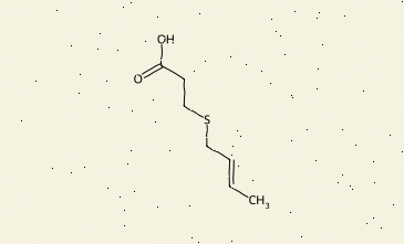 C/C=C/CSCCC(=O)O